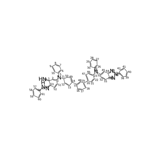 N=C1C=C(N(c2ccccc2)C2C=CC(c3cccc(-c4ccc(N(c5ccccc5)c5ccc6nn(-c7ccccc7)nc6c5)cc4)c3)=CC2)C=C/C1=N/Nc1ccccc1